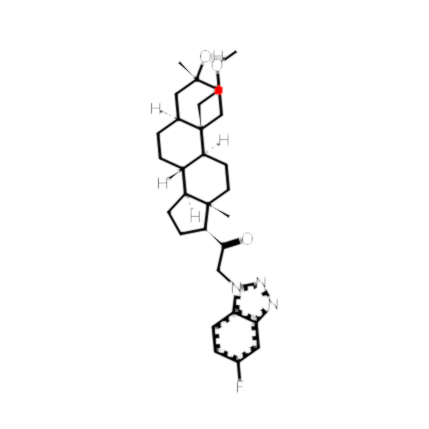 COCC[C@]12CC[C@@](C)(O)C[C@@H]1CC[C@H]1[C@@H]3CC[C@H](C(=O)Cn4nnc5cc(F)ccc54)[C@@]3(C)CC[C@@H]12